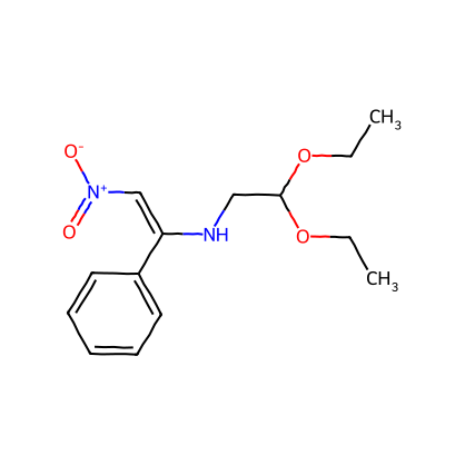 CCOC(CN/C(=C/[N+](=O)[O-])c1ccccc1)OCC